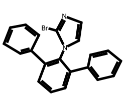 Brc1nccn1-c1c(-c2ccccc2)cccc1-c1ccccc1